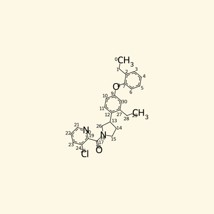 CCc1ccccc1Oc1ccc(C2CCN(C(=O)c3ncccc3Cl)C2)c(CC)c1